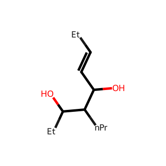 [CH2]CC=CC(O)C(CCC)C(O)CC